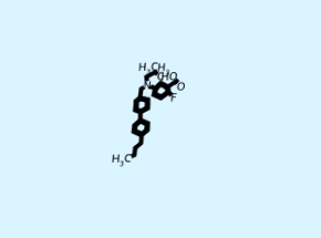 CCCCc1ccc(-c2ccc(CN(CC(C)C)c3ccc(F)c(C(=O)O)c3)cc2)cc1